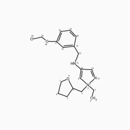 CC[N+]1(CC2CCCO2)C=C(NCc2cccc(OCCl)c2)C=N1